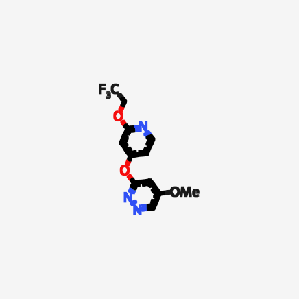 COc1cnnc(Oc2ccnc(OCC(F)(F)F)c2)c1